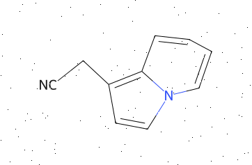 N#CCc1ccn2ccccc12